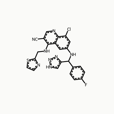 N#Cc1cnc2c(Cl)cc(NC(c3ccc(F)cc3)c3c[nH]nn3)cc2c1NCc1nccs1